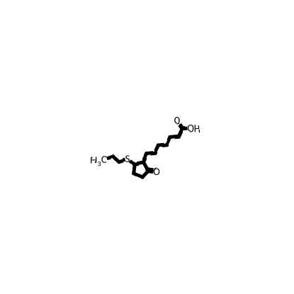 CCCSC1CCC(=O)C1CCCCCCC(=O)O